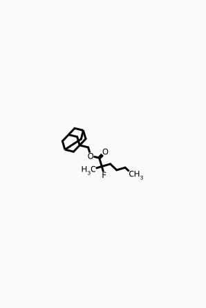 CCCCC(C)(F)C(=O)OCC12CC3CC(CC(C3)C1)C2